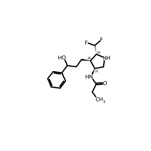 CCC(=O)N[C@@H]1CN[C@@H](C(F)F)[C@@H]1CCC(O)c1ccccc1